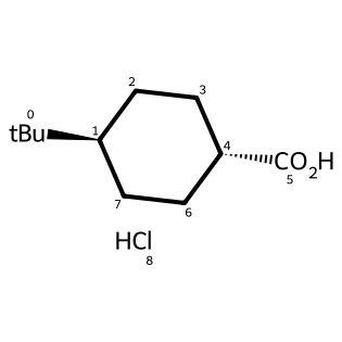 CC(C)(C)[C@H]1CC[C@H](C(=O)O)CC1.Cl